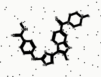 CNC(=O)c1ccc(Nc2nc(-c3c(C)nc4cc(C(=O)N5CCN(C)CC5)ccn34)cs2)cc1